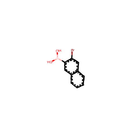 OB(O)c1cc2ccccc2cc1Br